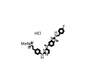 CNS(=O)(=O)CCc1ccc(Nc2nccc(N(C)c3ccc4c(c3)nc(NCc3ccc(F)cc3)n4C)n2)cc1.Cl